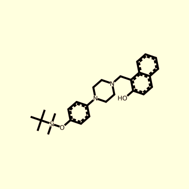 CC(C)(C)[Si](C)(C)Oc1ccc(N2CCN(Cc3c(O)ccc4ccccc34)CC2)cc1